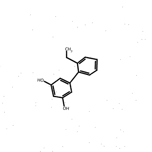 CCc1ccccc1-c1cc(O)cc(O)c1